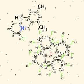 Cc1cc(C)c(C[n+]2ccccc2Cl)c(C)c1.Fc1c(F)c(F)c([B-](c2c(F)c(F)c(F)c(F)c2F)(c2c(F)c(F)c(F)c(F)c2F)c2c(F)c(F)c(F)c(F)c2F)c(F)c1F